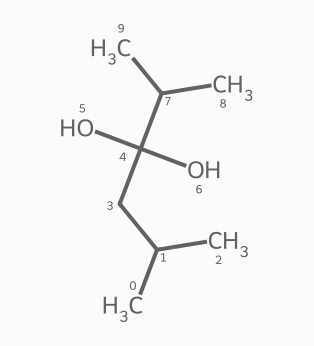 CC(C)CC(O)(O)C(C)C